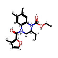 CCOC(=O)N1c2cc(C)c(C)cc2N(C(=O)c2occc2C)CC1CC